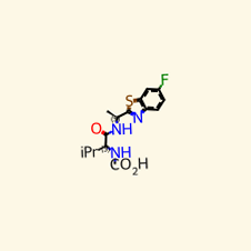 CC(C)[C@H](NC(=O)O)C(=O)N[C@@H](C)c1nc2ccc(F)cc2s1